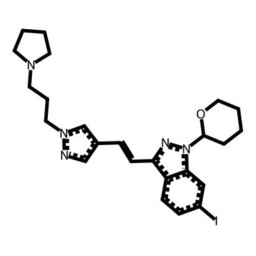 Ic1ccc2c(/C=C/c3cnn(CCCN4CCCC4)c3)nn(C3CCCCO3)c2c1